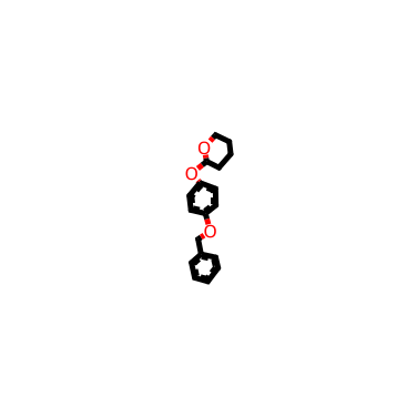 c1ccc(COc2ccc(OC3CCCCO3)cc2)cc1